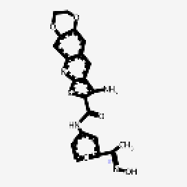 C/C(=N\O)c1cccc(NC(=O)c2sc3nc4cc5c(cc4cc3c2N)OCCO5)c1